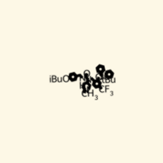 CC(C)COc1ccc(CNC(=O)N(Cc2ccc(C(F)(F)F)cc2O[Si](c2ccccc2)(c2ccccc2)C(C)(C)C)C2CCN(C)CC2)cc1